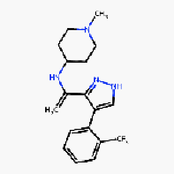 C=C(NC1CCN(C)CC1)c1n[nH]cc1-c1ccccc1C(F)(F)F